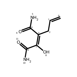 C=CC/C(C(N)=O)=C(\O)C(N)=O